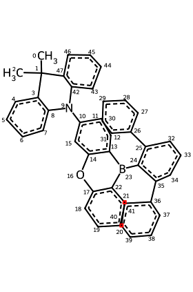 CC1(C)c2ccccc2N(c2ccc3c(c2)Oc2ccccc2B3c2c(-c3ccccc3)cccc2-c2ccccc2)c2ccccc21